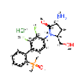 CP(C)(=O)c1ccccc1-c1ccc(N2C(=O)[C@H](N)C[C@H]2CO)c(F)c1F.Cl